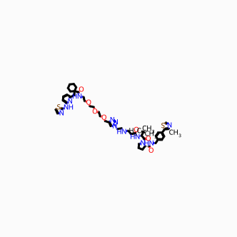 Cc1ncsc1-c1ccc(CNC(=O)[C@@H]2CCCN2C(=O)[C@@H](NC(=O)CCNCCn2cc(COCCOCCOCCNC(=O)C3(Cc4cccc(Nc5nccs5)n4)CCCCC3)nn2)C(C)(C)C)cc1